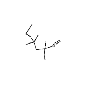 C=NC(C)(C)CC(C)(C)CC